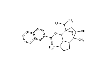 CC1CCC2C1C(OC(=O)c1ccc3ccccc3c1)C1(C(C)C)CC(O)C2(C)O1